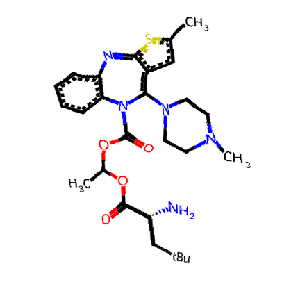 Cc1cc2c(s1)=Nc1ccccc1N(C(=O)OC(C)OC(=O)[C@H](N)CC(C)(C)C)C=2N1CCN(C)CC1